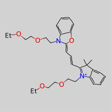 CCOCCOCCN1/C(=C/C=C/C2=[N+](CCOCCOCC)c3ccccc3C2(C)C)Oc2ccccc21